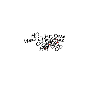 COc1cc2c(cc1O)CCNCSC13c4c5c(c(C)c(OC(C)=O)c4[C@@H]1[C@H]1[C@@H]4c6c(cc(C)c(OC)c6O)C6(C)CC([C@H](O)N1[C@H]3COC2=O)N46)OCO5